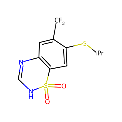 CC(C)Sc1cc2c(cc1C(F)(F)F)N=CNS2(=O)=O